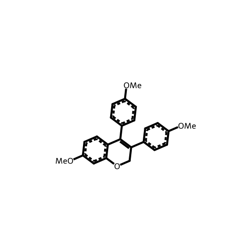 COc1ccc(C2=C(c3ccc(OC)cc3)c3ccc(OC)cc3OC2)cc1